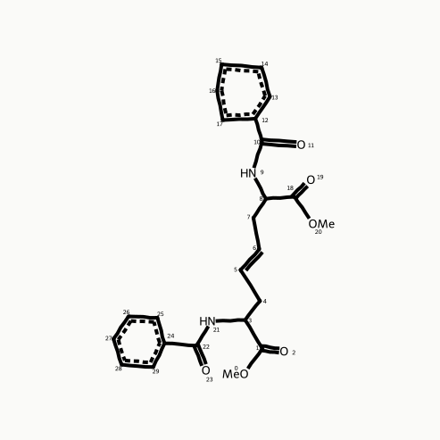 COC(=O)C(C/C=C/CC(NC(=O)c1ccccc1)C(=O)OC)NC(=O)c1ccccc1